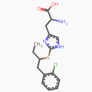 CCC(Cc1ccccc1Cl)Sc1nc(CC(N)C(=O)O)c[nH]1